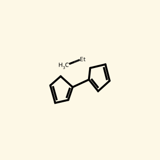 C1=CCC(C2=CC=CC2)=C1.CCC